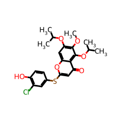 COc1c(OC(C)C)cc2oc(Sc3ccc(O)c(Cl)c3)cc(=O)c2c1OC(C)C